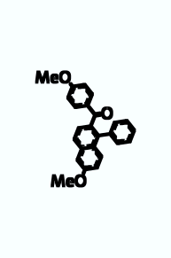 COc1ccc(C(=O)c2ccc3cc(OC)ccc3c2-c2ccccc2)cc1